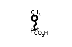 Cc1ccc(/C=C/C(F)(F)C(=O)O)cc1